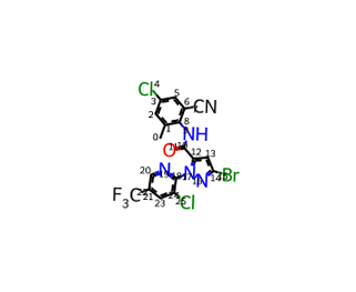 Cc1cc(Cl)cc(C#N)c1NC(=O)c1cc(Br)nn1-c1ncc(C(F)(F)F)cc1Cl